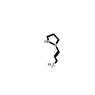 [CH2]C/C=C/N1CCCN1